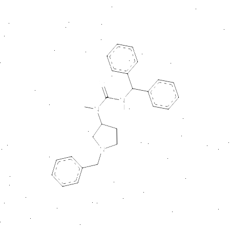 CN(C(=O)NC(c1ccccc1)c1ccccc1)C1CCN(Cc2ccccc2)C1